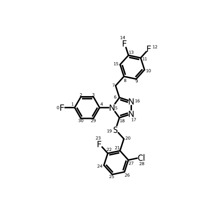 Fc1ccc(-n2c(Cc3ccc(F)c(F)c3)nnc2SCc2c(F)cccc2Cl)cc1